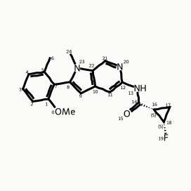 COc1cccc(C)c1-c1cc2cc(NC(=O)[C@@H]3C[C@@H]3F)ncc2n1C